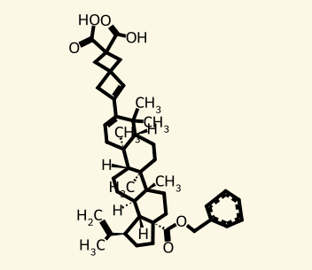 C=C(C)[C@@H]1CC[C@]2(C(=O)OCc3ccccc3)CC[C@]3(C)[C@H](CC[C@@H]4[C@@]5(C)CC=C(C6=CC7(C6)CC(C(=O)O)(C(=O)O)C7)C(C)(C)[C@@H]5CC[C@]43C)[C@@H]12